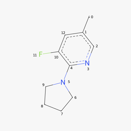 [CH2]c1cnc(N2CCCC2)c(F)c1